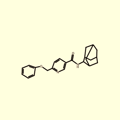 O=C(NC1C2CC3CC(C2)CC1C3)c1ccc(COc2ccccc2)nc1